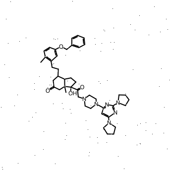 Cc1ccc(OCc2ccccc2)cc1CCC1CC(=O)CC2(C)C1CC[C@]2(O)C(=O)CN1CCN(c2cc(N3CCCC3)nc(N3CCCC3)n2)CC1